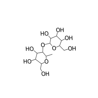 CC1OC(CO)C(O)C(O)C1OC1OC(CO)C(O)C(O)C1O